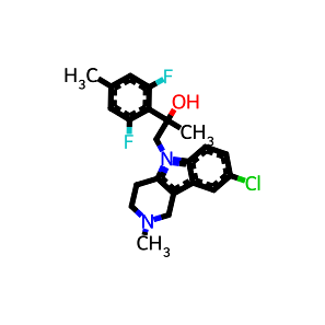 Cc1cc(F)c(C(C)(O)Cn2c3c(c4cc(Cl)ccc42)CN(C)CC3)c(F)c1